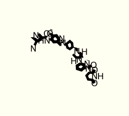 COc1cc2nn([C@H]3CC[C@H](CN4C[C@H]5C[C@@H]4CN5c4cccc5c4n(C)c(=O)n5C4CCC(=O)NC4=O)CC3)cc2cc1NC(=O)c1cncc(C#N)c1